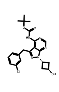 CC(C)(C)OC(=O)Nc1ncnc2c1c(Cc1cccc(Cl)c1)nn2[C@H]1C[C@H](O)C1